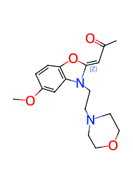 COc1ccc2c(c1)N(CCN1CCOCC1)/C(=C/C(C)=O)O2